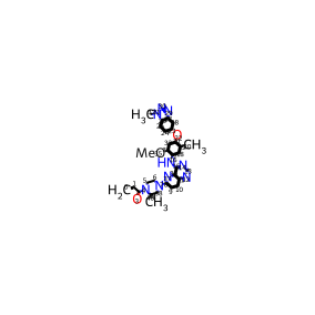 C=CC(=O)N1CCN(c2ccc3ncnc(Nc4cc(C)c(Oc5ccc6c(c5)nnn6C)cc4OC)c3n2)C[C@H]1C